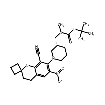 CN(C[C@@H]1CCCN(c2c([N+](=O)[O-])cc3c(c2C#N)OC2(CCC2)CC3)C1)C(=O)OC(C)(C)C